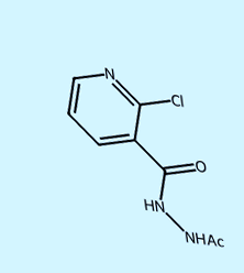 CC(=O)NNC(=O)c1cccnc1Cl